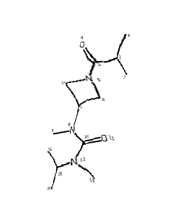 CC(C)C(=O)N1CC(N(C)C(=O)N(C)C(C)C)C1